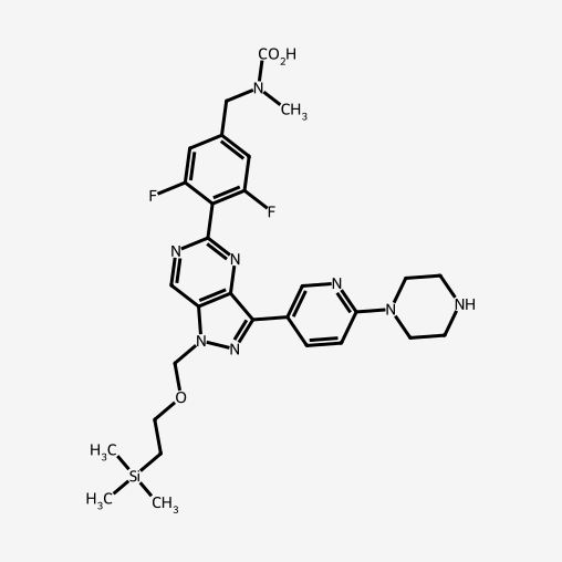 CN(Cc1cc(F)c(-c2ncc3c(n2)c(-c2ccc(N4CCNCC4)nc2)nn3COCC[Si](C)(C)C)c(F)c1)C(=O)O